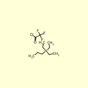 CCC[N+](CC)(CC)CC.O=C([O-])C(F)(F)F